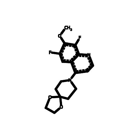 COc1c(F)cc2c(N3CCC4(CC3)OCCO4)[c]cnc2c1F